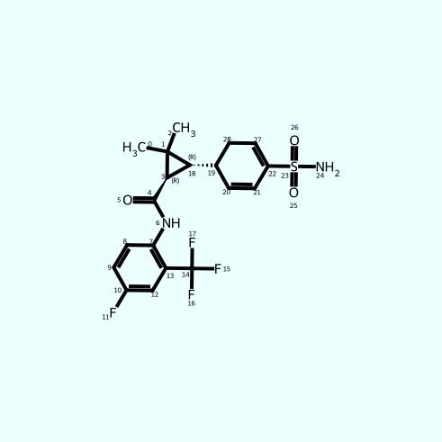 CC1(C)[C@H](C(=O)Nc2ccc(F)cc2C(F)(F)F)[C@H]1C1C=CC(S(N)(=O)=O)=CC1